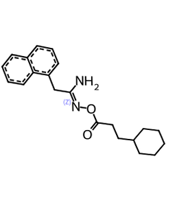 N/C(Cc1cccc2ccccc12)=N\OC(=O)CCC1CCCCC1